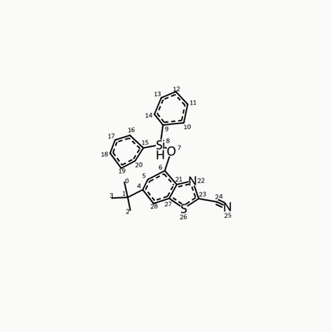 CC(C)(C)c1cc(O[SiH](c2ccccc2)c2ccccc2)c2nc(C#N)sc2c1